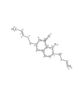 C=CCOc1ccc2cc(CC/C=C/C)oc(=O)c2c1F